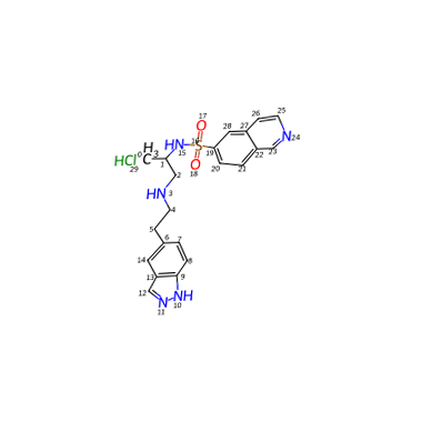 CC(CNCCc1ccc2[nH]ncc2c1)NS(=O)(=O)c1ccc2cnccc2c1.Cl